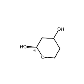 OC1CCO[C@@H](O)C1